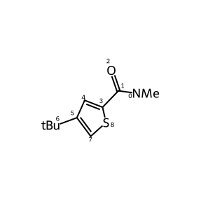 CNC(=O)c1cc(C(C)(C)C)cs1